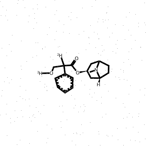 [2H]OCC([2H])(C(=O)O[C@H]1CC2CC[C@H](C1)N2C)c1ccccc1